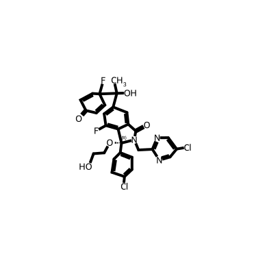 CC(O)(c1cc(F)c2c(c1)C(=O)N(Cc1ncc(Cl)cn1)[C@@]2(OCCO)c1ccc(Cl)cc1)C1(F)C=CC(=O)C=C1